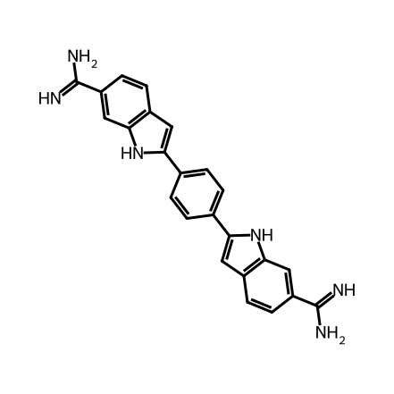 N=C(N)c1ccc2cc(-c3ccc(-c4cc5ccc(C(=N)N)cc5[nH]4)cc3)[nH]c2c1